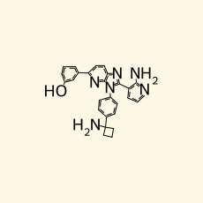 Nc1ncccc1-c1nc2ccc(-c3cccc(O)c3)nc2n1-c1ccc(C2(N)CCC2)cc1